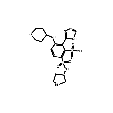 NS(=O)(=O)c1c(S(=O)(=O)N[C@@H]2CCNC2)ccc(NC2CCOCC2)c1-c1nnn[nH]1